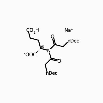 CCCCCCCCCCCC(=O)N(C(=O)CCCCCCCCCCC)[C@@H](CCC(=O)O)C(=O)[O-].[Na+]